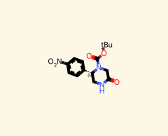 CC(C)(C)OC(=O)N1CC(=O)NC[C@@H]1c1ccc([N+](=O)[O-])cc1